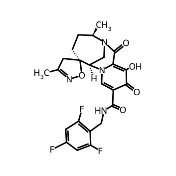 CC1=NO[C@@]2(CC[C@@H](C)N3C[C@H]2n2cc(C(=O)NCc4c(F)cc(F)cc4F)c(=O)c(O)c2C3=O)C1